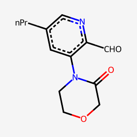 CCCc1cnc(C=O)c(N2CCOCC2=O)c1